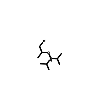 CC(CCl)O[SiH](C(C)C)C(C)C